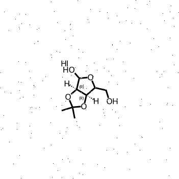 CC1(C)O[C@@H]2C(CO)OC(O)[C@@H]2O1.I